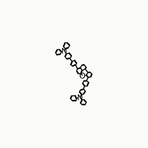 c1ccc(N(c2ccccc2)c2ccc(-c3ccc(-c4cccc5c4Oc4ccc(-c6ccc(-c7ccc(N(c8ccccc8)c8ccccc8)cc7)cc6)c6cccc-5c46)cc3)cc2)cc1